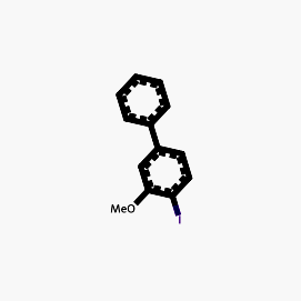 COc1cc(-c2ccccc2)ccc1I